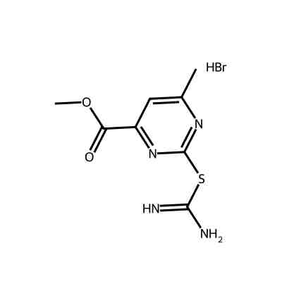 Br.COC(=O)c1cc(C)nc(SC(=N)N)n1